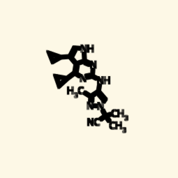 Cc1nn(C(C)(C)C#N)cc1Nc1nc(C2CC2)c2c(C3CC3)c[nH]c2n1